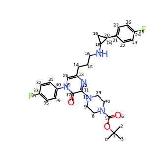 CC(C)(C)OC(=O)N1CCN(c2nc(CCCNC3C[C@H]3c3ccc(F)cc3)cn(-c3ccc(F)cc3)c2=O)CC1